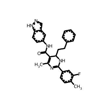 CC1=C(C(=O)Nc2ccc3[nH]ncc3c2)C(CCc2ccccc2)NC(c2ccc(C)c(F)c2)=N1